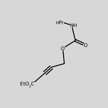 CCCNC(=O)OCC#CC(=O)OCC